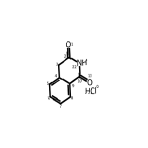 Cl.O=C1Cc2ccccc2C(=O)N1